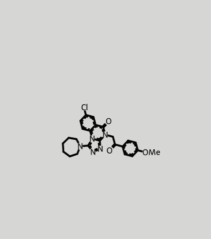 COc1ccc(C(=O)Cn2c(=O)c3cc(Cl)ccc3n3c(N4CCCCCC4)nnc23)cc1